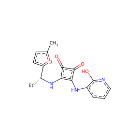 CC[C@@H](Nc1c(Nc2cccnc2O)c(=O)c1=O)c1ccc(C)o1